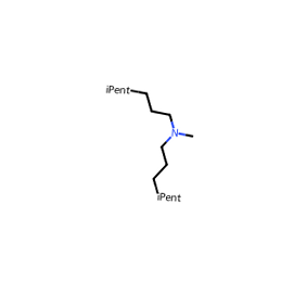 CCCC(C)CCCN(C)CCCC(C)CCC